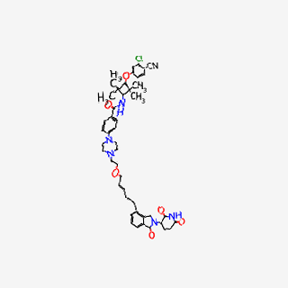 CC1(C)C(NC(=O)c2ccc(N3CCN(CCOCCCCCc4cccc5c4CN(C4CCC(=O)NC4=O)C5=O)CC3)cc2)C(C)(C)C1Oc1ccc(C#N)c(Cl)c1